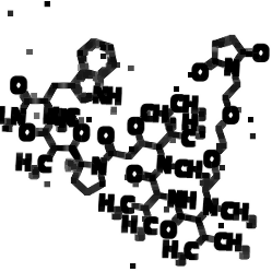 CCC(C)C(C(CC(=O)N1CCC[C@H]1C(OC)C(C)C(=O)NC(Cc1c[nH]c2ccccc12)C(N)=O)OC)N(C)C(=O)C(NC(=O)C(C(C)C)N(C)CCOCCOCCN1C(=O)C=CC1=O)C(C)C